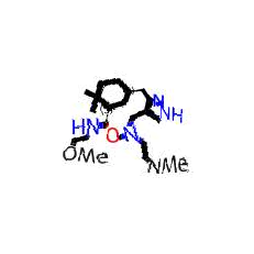 CNCCN(C)Cc1c[nH]nc1C[C@@H]1CCC(C)(C)[C@@H](C(=O)NCCOC)C1